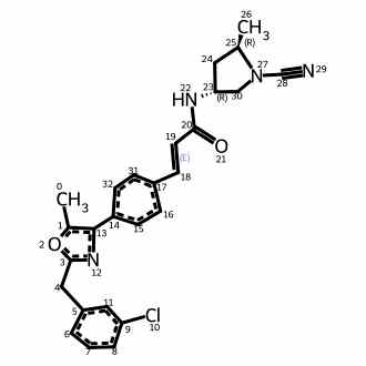 Cc1oc(Cc2cccc(Cl)c2)nc1-c1ccc(/C=C/C(=O)N[C@@H]2C[C@@H](C)N(C#N)C2)cc1